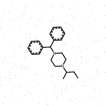 CCC(C)N1CCN(C(c2ccccc2)c2ccccc2)CC1